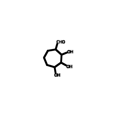 O=CC1CCCC(O)C(O)C1O